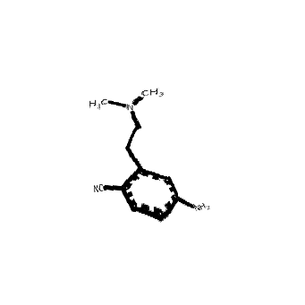 CN(C)CCc1cc(N)ccc1C#N